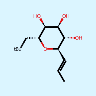 CC=C[C@H]1O[C@H](CC(C)(C)C)[C@@H](O)[C@@H](O)[C@@H]1O